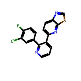 Fc1ccc(-c2ncccc2-c2ccc3ncsc3n2)cc1Cl